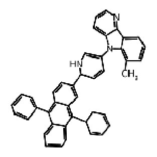 Cc1cccc2c3ncccc3n(C3=CNC(c4ccc5c(-c6ccccc6)c6ccccc6c(C6C=CC=CC6)c5c4)C=C3)c12